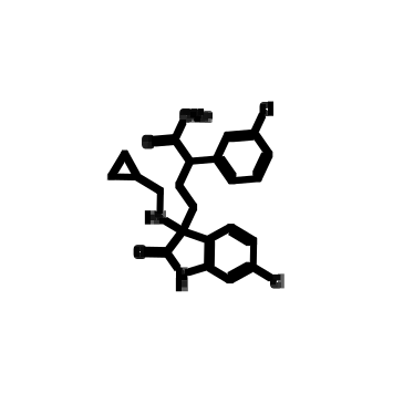 COC(=O)C(CCC1(NCC2CC2)C(=O)Nc2cc(Cl)ccc21)c1cccc(Cl)c1